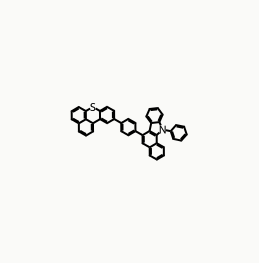 c1ccc(-n2c3ccccc3c3c(-c4ccc(-c5ccc6c(c5)-c5cccc7cccc(c57)S6)cc4)cc4ccccc4c32)cc1